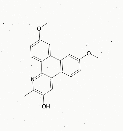 COc1ccc2c(c1)c1cc(OC)ccc1c1nc(C)c(O)cc21